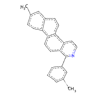 Cc1cccc(-c2nccc3c2ccc2c4ccc(C)cc4ccc32)c1